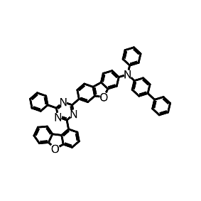 c1ccc(-c2ccc(N(c3ccccc3)c3ccc4c(c3)oc3cc(-c5nc(-c6ccccc6)nc(-c6cccc7oc8ccccc8c67)n5)ccc34)cc2)cc1